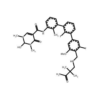 COc1cc(-c2cccc(-c3cccc(NC(=O)C4=CN(C)C(O)N(C)C4=O)c3C)c2F)cc(F)c1CNCC(C)(C)C(N)=O